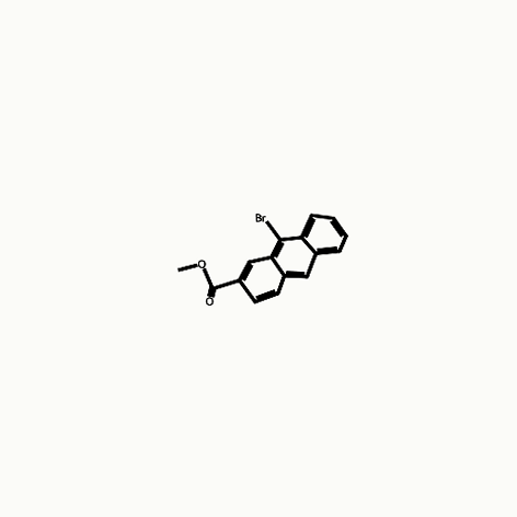 COC(=O)c1ccc2cc3ccccc3c(Br)c2c1